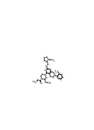 C=CC(=O)N1CCN(c2nc(OCC3CCCN3C)nc3c2CCN(c2ncccc2C(F)(F)F)C3)CC1CC#N